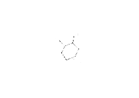 N[C@@H]1CCC(O)C(O)C1